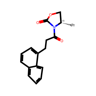 CC(C)[C@H]1COC(=O)N1C(=O)CCc1cccc2ccccc12